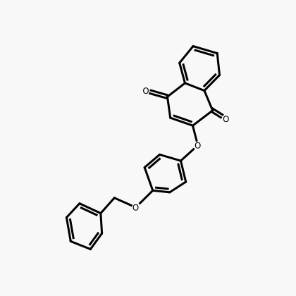 O=C1C=C(Oc2ccc(OCc3ccccc3)cc2)C(=O)c2ccccc21